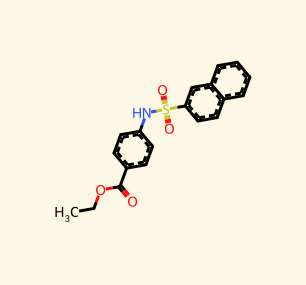 CCOC(=O)c1ccc(NS(=O)(=O)c2ccc3ccccc3c2)cc1